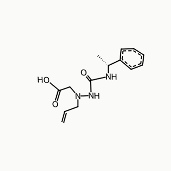 C=CCN(CC(=O)O)NC(=O)N[C@H](C)c1ccccc1